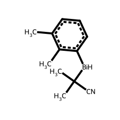 Cc1ccc[c]([BiH][C](C)(C)C#N)c1C